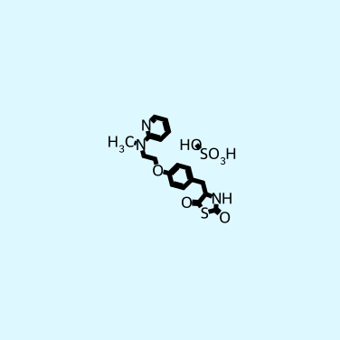 CN(CCOc1ccc(CC2NC(=O)SC2=O)cc1)c1ccccn1.O=S(=O)(O)O